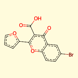 O=C(O)c1c(-c2ccco2)oc2ccc(Br)cc2c1=O